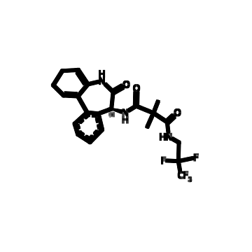 CC(C)(C(=O)NCC(F)(F)C(F)(F)F)C(=O)N[C@@H]1C(=O)NC2=CCCC=C2c2ccccc21